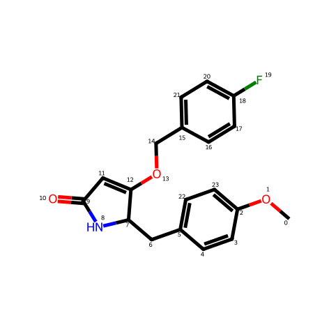 COc1ccc(CC2NC(=O)C=C2OCc2ccc(F)cc2)cc1